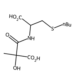 CCCCSCC(NC(=O)C(C)(O)C(=O)O)C(=O)O